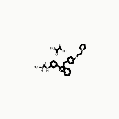 CNC(=O)Nc1cccc(-c2sc3ccccc3c2Cc2ccc(OCCN3CCCC3)cc2)c1.O=C(O)C(=O)O